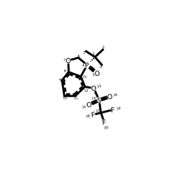 CC(C)(C)[P@@]1(=O)COc2cccc(OS(=O)(=O)C(F)(F)F)c21